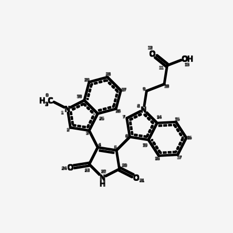 Cn1cc(C2=C(c3cn(CCC(=O)O)c4ccccc34)C(=O)NC2=O)c2ccccc21